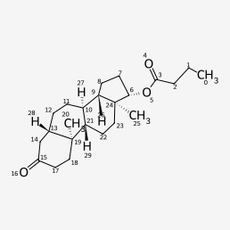 CCCC(=O)O[C@H]1CC[C@H]2[C@@H]3CC[C@H]4CC(=O)CC[C@]4(C)[C@H]3CC[C@]12C